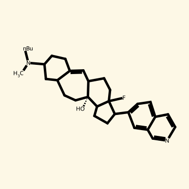 CCCCN(C)C1CCC2=CC3CCC4(F)C(c5ccc6ccncc6c5)CCC4[C@@]3(O)CCC2C1